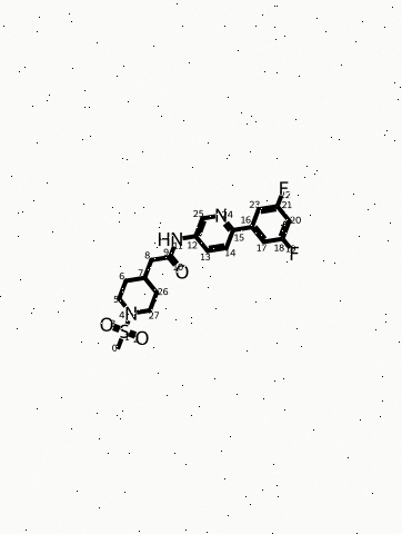 CS(=O)(=O)N1CCC(CC(=O)Nc2ccc(-c3cc(F)cc(F)c3)nc2)CC1